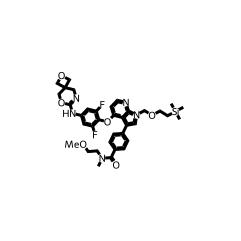 COCCN(C)C(=O)c1ccc(-c2cn(COCC[Si](C)(C)C)c3nccc(Oc4c(F)cc(NC5=NCC6(COC6)CO5)cc4F)c23)cc1